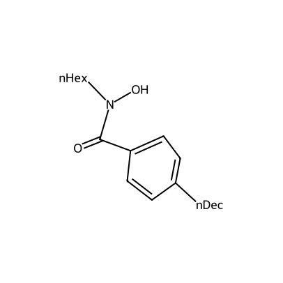 CCCCCCCCCCc1ccc(C(=O)N(O)CCCCCC)cc1